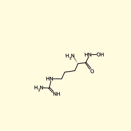 N=C(N)NCCC[C@H](N)C(=O)NO